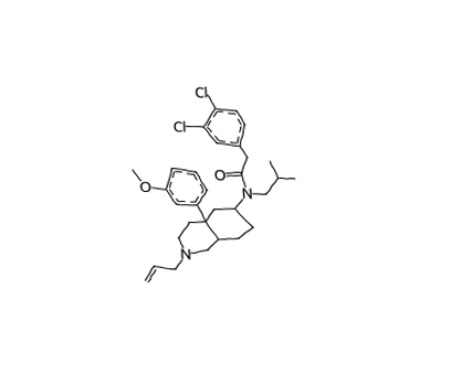 C=CCN1CCC2(c3cccc(OC)c3)CC(N(CC(C)C)C(=O)Cc3ccc(Cl)c(Cl)c3)CCC2C1